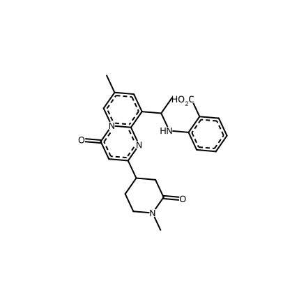 Cc1cc(C(C)Nc2ccccc2C(=O)O)c2nc(C3CCN(C)C(=O)C3)cc(=O)n2c1